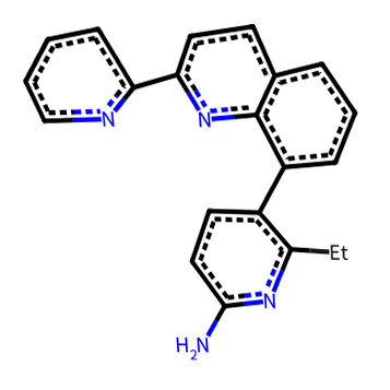 CCc1nc(N)ccc1-c1cccc2ccc(-c3ccccn3)nc12